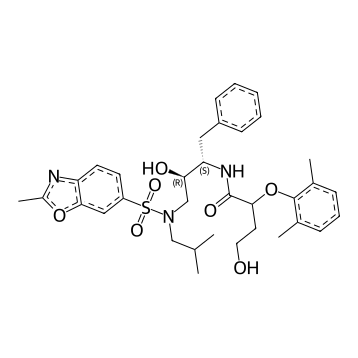 Cc1nc2ccc(S(=O)(=O)N(CC(C)C)C[C@@H](O)[C@H](Cc3ccccc3)NC(=O)C(CCO)Oc3c(C)cccc3C)cc2o1